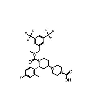 Cc1cc(F)ccc1[C@H]1C[C@H](N2CCN(C(=O)O)CC2)CCN1C(=O)N(C)Cc1cc(C(F)(F)F)cc(C(F)(F)F)c1